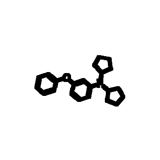 c1ccc(Oc2cccc(P(C3CCCC3)C3CCCC3)c2)cc1